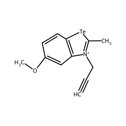 C#CC[n+]1c(C)[te]c2ccc(OC)cc21